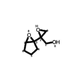 OCC1(C23CCCC2O3)CO1